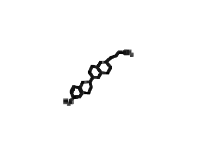 C=CCCC1CCC2CC(C3CCc4cc(C)ccc4C3)CCC2C1